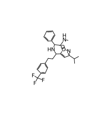 CNC(=O)C(NC(CCc1ccc(C(F)(F)F)cc1)c1cc(C(C)C)no1)c1ccccc1